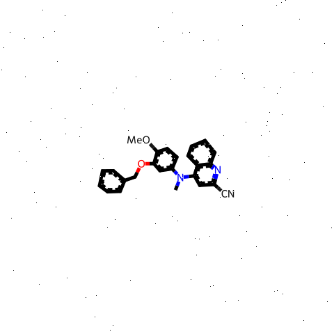 COc1ccc(N(C)c2cc(C#N)nc3ccccc23)cc1OCc1ccccc1